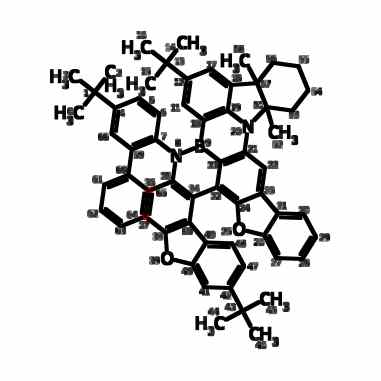 CC(C)(C)c1ccc(N2B3c4cc(C(C)(C)C)cc5c4N(c4cc6c(oc7ccccc76)c(c43)-c3c2ccc2oc4cc(C(C)(C)C)ccc4c32)C2(C)CCCCC52C)c(-c2ccccc2)c1